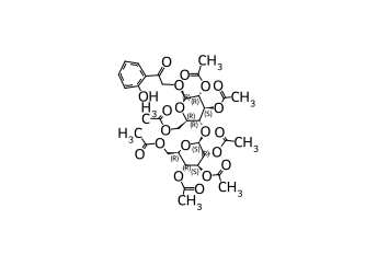 CC(=O)OC[C@H]1O[C@@H](O[C@H]2[C@H](OC(C)=O)[C@@H](OC(C)=O)[C@H](OCC(=O)c3ccccc3O)O[C@@H]2COC(C)=O)[C@H](OC(C)=O)[C@@H](OC(C)=O)[C@@H]1OC(C)=O